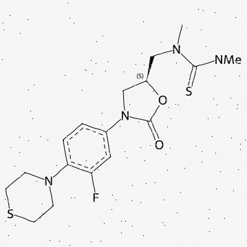 CNC(=S)N(C)C[C@@H]1CN(c2ccc(N3CCSCC3)c(F)c2)C(=O)O1